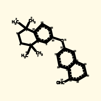 CC1(C)CCC(C)(C)c2cc(Oc3ccc4c(C=O)cccc4c3)ccc21